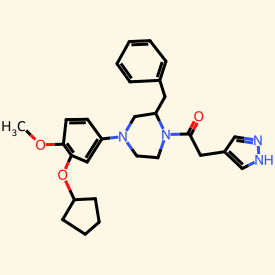 COc1ccc(N2CCN(C(=O)Cc3cn[nH]c3)C(Cc3ccccc3)C2)cc1OC1CCCC1